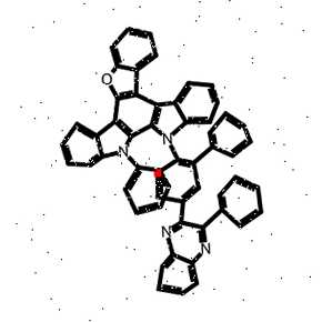 c1ccc(-c2cc(-c3nc4ccccc4nc3-c3ccccc3)ccc2-n2c3ccccc3c3c4c5ccccc5oc4c4c5ccccc5n(-c5ccccc5)c4c32)cc1